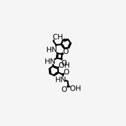 CCC(Nc1c(Nc2cccc(C(=O)NCC(=O)O)c2O)c(=O)c1=O)c1ccccc1